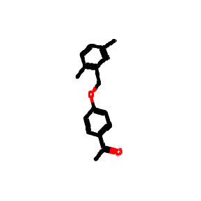 CC(=O)c1ccc(OCc2cc(C)ccc2C)cc1